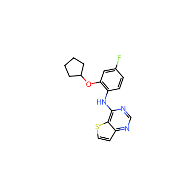 Fc1ccc(Nc2ncnc3ccsc23)c(OC2CCCC2)c1